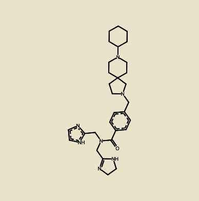 O=C(c1ccc(CN2CCC3(CCN(C4CCCCC4)CC3)C2)cc1)N(CC1=NCCN1)Cc1ncc[nH]1